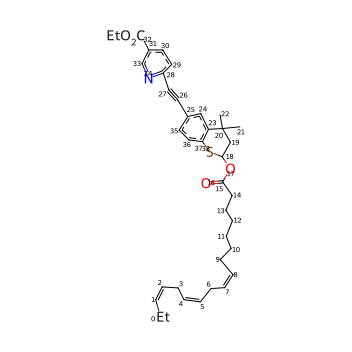 CC/C=C\C/C=C\C/C=C\CCCCCCC(=O)OC1CC(C)(C)c2cc(C#Cc3ccc(C(=O)OCC)cn3)ccc2S1